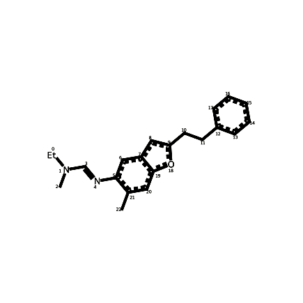 CCN(C)C=Nc1cc2cc(CCc3ccccc3)oc2cc1C